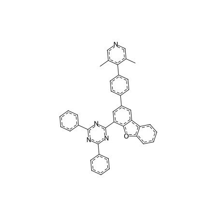 Cc1cncc(C)c1-c1ccc(-c2cc(-c3nc(-c4ccccc4)nc(-c4ccccc4)n3)c3oc4ccccc4c3c2)cc1